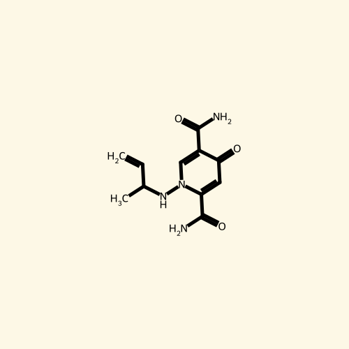 C=CC(C)Nn1cc(C(N)=O)c(=O)cc1C(N)=O